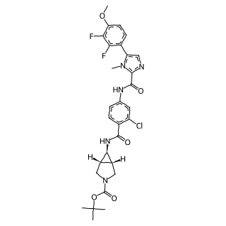 COc1ccc(-c2cnc(C(=O)Nc3ccc(C(=O)N[C@H]4[C@@H]5CN(C(=O)OC(C)(C)C)C[C@@H]54)c(Cl)c3)n2C)c(F)c1F